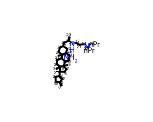 C=C1C=C([C@@]2(C)CCC3(C)C4(N)CC[C@]5(C)CC(CC(=C)NCCCN(CCC)CCC)CCC5(C)C4CCC32C)CC1